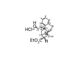 CCOC(=O)[C@H]1CC2C3Cc4ccccc4[C@@]2(CCO)CC1N3C.Cl